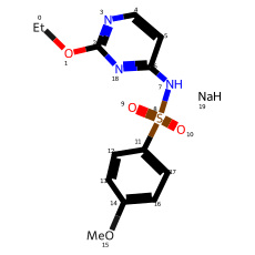 CCOc1nccc(NS(=O)(=O)c2ccc(OC)cc2)n1.[NaH]